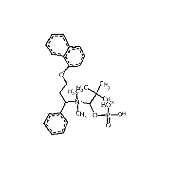 CC(C)(C)C(OP(=O)(O)O)[N+](C)(C)C(CCOc1cccc2ccccc12)c1ccccc1